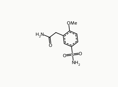 COc1ccc(S(N)(=O)=O)cc1CC(N)=O